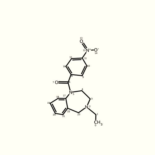 CCN1CCN(C(=O)c2ccc([N+](=O)[O-])cc2)c2ccccc2C1